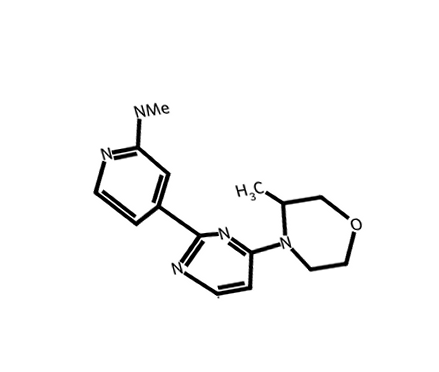 CNc1cc(-c2n[c]cc(N3CCOCC3C)n2)ccn1